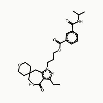 CCc1nn(CCCOC(=O)c2cccc(C(=O)NC(C)C)c2)c2c1C(=O)NCC1(CCOCC1)C2